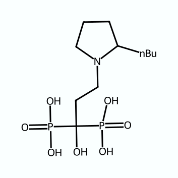 CCCCC1CCCN1CCC(O)(P(=O)(O)O)P(=O)(O)O